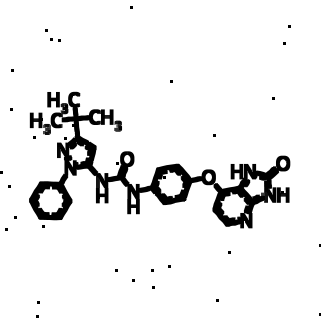 CC(C)(C)c1cc(NC(=O)Nc2ccc(Oc3ccnc4[nH]c(=O)[nH]c34)cc2)n(-c2ccccc2)n1